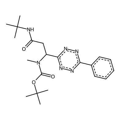 CN(C(=O)OC(C)(C)C)C(CC(=O)NC(C)(C)C)c1nnc(-c2ccccc2)nn1